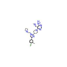 C/N=C/c1c(N)ncnc1N1CCC(c2nc(-c3ccc(F)c(C)c3)cn2CCN2CCC2)CC1